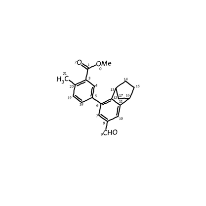 COC(=O)c1cc(-c2cc(C=O)cc3c2C2CCC3C2)ccc1C